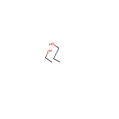 CCCO.CCO